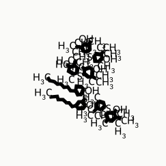 CCCCCCCCc1ccc(O)c(Sc2cc(CCCCCCCC)ccc2O)c1.Cc1cc(O)c(C(C)(C)C)cc1Sc1cc(C(C)(C)C)c(O)cc1C.Cc1cc(Sc2cc(C)c(O)c(C(C)(C)C)c2)cc(C(C)(C)C)c1O.Cc1cc(Sc2cc(C)cc(C(C)(C)C)c2O)c(O)c(C(C)(C)C)c1